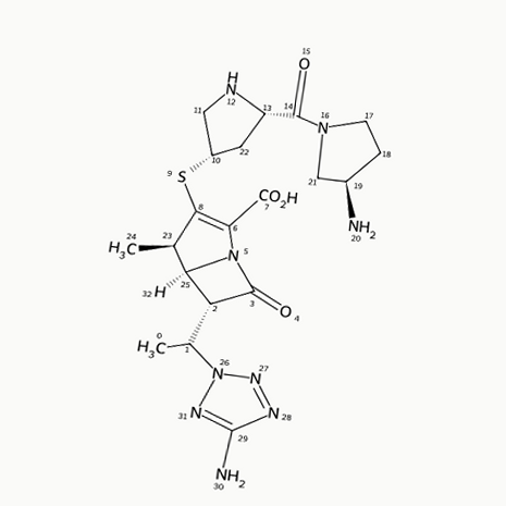 CC([C@H]1C(=O)N2C(C(=O)O)=C(S[C@@H]3CN[C@H](C(=O)N4CC[C@@H](N)C4)C3)[C@H](C)[C@H]12)n1nnc(N)n1